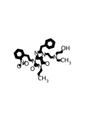 CCCn1c(=O)c2c(nc(Cc3ccccc3)n2CCN(CC)CCO)n(CCc2ccccc2[N+](=O)[O-])c1=O